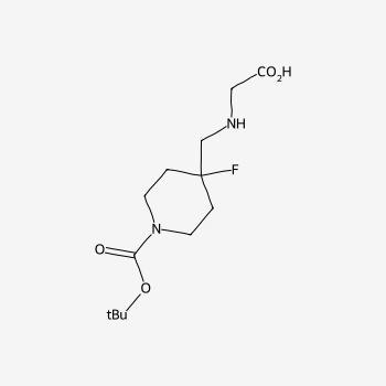 CC(C)(C)OC(=O)N1CCC(F)(CNCC(=O)O)CC1